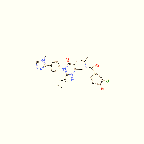 CC(C)Cc1cnn2c3c(c(=O)n(-c4ccc(-c5nncn5C)cc4)c12)CC(C)N(C(=O)c1ccc(Br)c(Cl)c1)C3